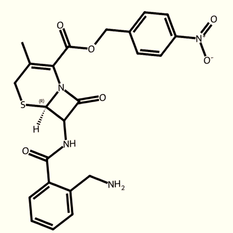 CC1=C(C(=O)OCc2ccc([N+](=O)[O-])cc2)N2C(=O)C(NC(=O)c3ccccc3CN)[C@H]2SC1